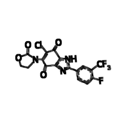 O=C1C(N2CCOC2=O)=C(Cl)C(=O)c2[nH]c(-c3ccc(F)c(C(F)(F)F)c3)nc21